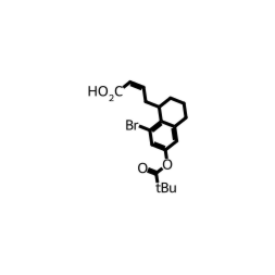 CC(C)(C)C(=O)Oc1cc(Br)c2c(c1)CCCC2C/C=C\C(=O)O